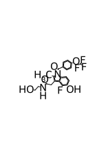 Cc1c(CC(=O)NCCO)c2c(F)c(O)ccc2n1C(=O)c1ccc(OC(F)(F)F)cc1